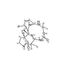 CC1(C)Nc2ccc(F)c(n2)[C@]2(C)N=C(NC(=O)O1)C(C)(C)[S@]1(=O)=NCC[C@H]21